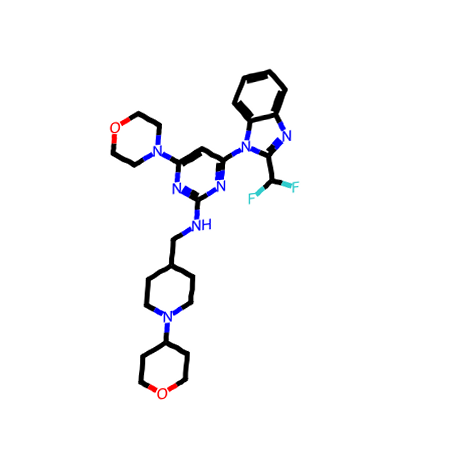 FC(F)c1nc2ccccc2n1-c1cc(N2CCOCC2)nc(NCC2CCN(C3CCOCC3)CC2)n1